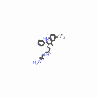 CC1c2cc(C(F)(F)F)ccc2N[C@@H](C2C=CC=CC2)[C@@H]1CC[C@@H](C)CNCC(C)(C)N